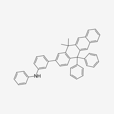 CC1(C)c2cc(-c3cccc(Nc4ccccc4)c3)ccc2C(c2ccccc2)(c2ccccc2)c2cc3ccccc3cc21